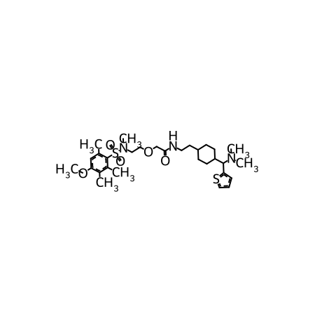 COc1cc(C)c(S(=O)(=O)N(C)CCOCC(=O)NCCC2CCC(C(c3cccs3)N(C)C)CC2)c(C)c1C